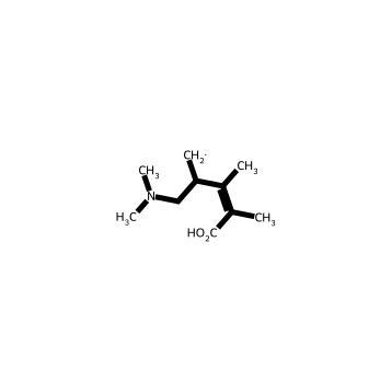 [CH2]C(CN(C)C)C(C)=C(C)C(=O)O